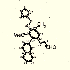 COc1c(OCc2ncco2)c(C)cc(/C=C/C=O)c1-c1ccc2ccccc2c1